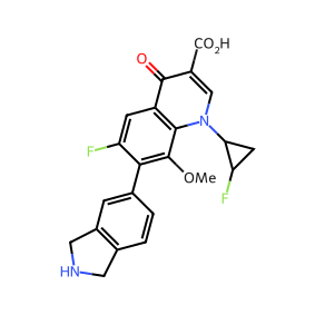 COc1c(-c2ccc3c(c2)CNC3)c(F)cc2c(=O)c(C(=O)O)cn(C3CC3F)c12